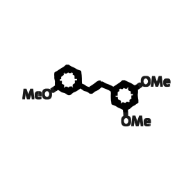 COc1cccc(/C=C/c2cc(OC)cc(OC)c2)c1